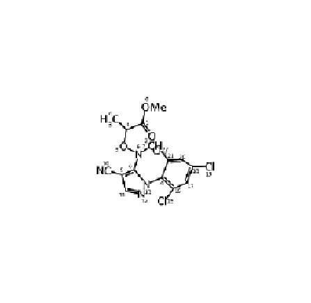 COC(=O)C(C)ON(C)c1c(C#N)cnn1-c1c(Cl)cc(Cl)cc1Cl